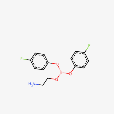 NCCOB(Oc1ccc(F)cc1)Oc1ccc(F)cc1